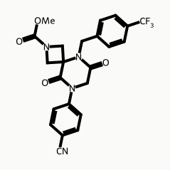 COC(=O)N1CC2(C1)C(=O)N(c1ccc(C#N)cc1)CC(=O)N2Cc1ccc(C(F)(F)F)cc1